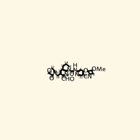 CO[C@H]1CC[C@@H]1Oc1cc(NC(=O)N2CCCc3cc(CN4CCOCC4=O)c(C=O)nc32)ncc1C#N